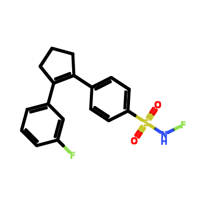 O=S(=O)(NF)c1ccc(C2=C(c3cccc(F)c3)CCC2)cc1